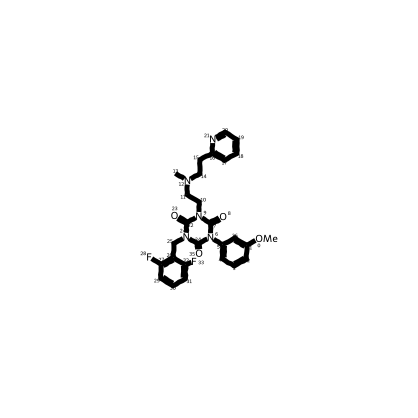 COc1cccc(-n2c(=O)n(CCN(C)CCc3ccccn3)c(=O)n(Cc3c(F)cccc3F)c2=O)c1